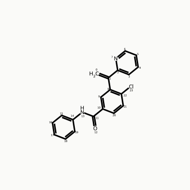 C=C(c1ccccn1)c1cc(C(=O)Nc2ccccc2)ccc1Cl